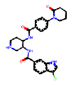 O=C(NC1CCNCC1NC(=O)c1ccc2c(Cl)c[nH]c2c1)c1ccc(N2CCCCC2=O)cc1